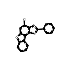 Clc1cc2oc3ccccc3c2c2oc(-c3ccccc3)nc12